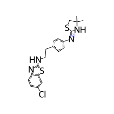 CC1(C)CS/C(=N\c2ccc(CCNc3nc4ccc(Cl)cc4s3)cc2)N1